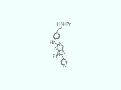 CCn1c(-c2ccncc2)nc2cnc(Nc3ccc(CCNC(C)C)cc3)nc21